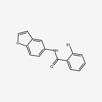 CCc1ccccc1C(=O)Nc1ccc2occc2c1